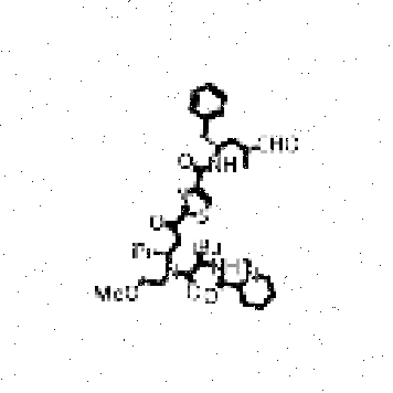 CCC(C)C(NC(=O)C1CCCCN1C)C(=O)N(CCOC)[C@H](CC(=O)c1nc(C(=O)N[C@@H](Cc2ccccc2)C[C@H](C)C=O)cs1)C(C)C